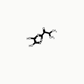 CC(C)C(=O)c1nnc(O)c(O)n1